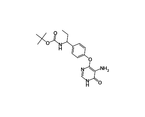 CCC(NC(=O)OC(C)(C)C)c1ccc(Oc2nc[nH]c(=O)c2N)cc1